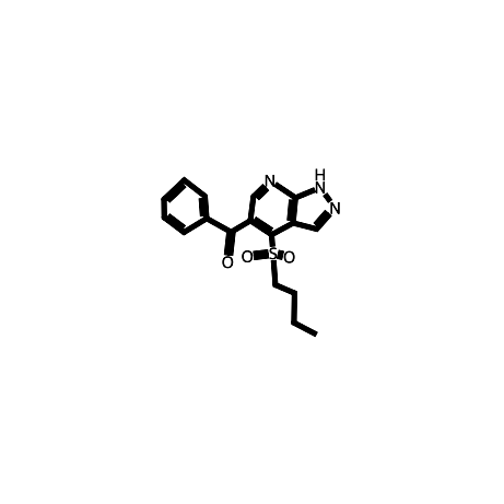 CCCCS(=O)(=O)c1c(C(=O)c2ccccc2)cnc2[nH]ncc12